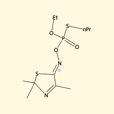 CCCSP(=O)(OCC)O/N=C1\SC(C)(C)N=C1C